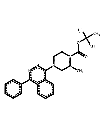 C[C@H]1CN(c2nnc(-c3ccccc3)c3ccccc23)CCN1C(=O)OC(C)(C)C